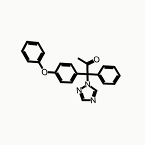 CC(=O)C(c1ccccc1)(c1ccc(Oc2ccccc2)cc1)n1cncn1